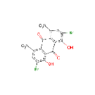 O=C1c2c([N+](=O)[O-])cc(Br)c(O)c2C(=O)c2c(O)c(Br)cc([N+](=O)[O-])c21